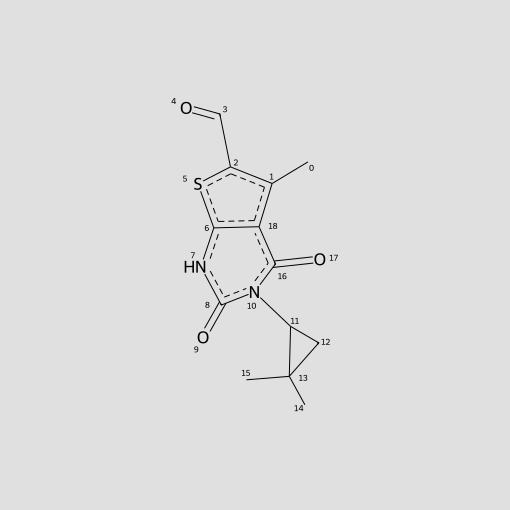 Cc1c(C=O)sc2[nH]c(=O)n(C3CC3(C)C)c(=O)c12